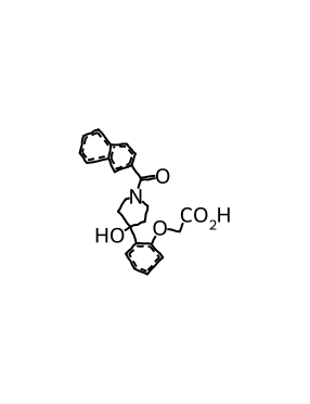 O=C(O)COc1ccccc1C1(O)CCN(C(=O)c2ccc3ccccc3c2)CC1